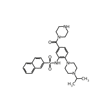 CC(C)N1CCN(c2ccc(C(=O)N3CCNCC3)cc2NS(=O)(=O)c2ccc3ccccc3c2)CC1